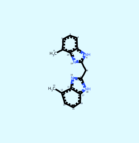 Cc1cccc2[nH]c(Cc3nc4c(C)cccc4[nH]3)nc12